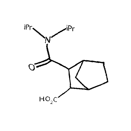 CC(C)N(C(=O)C1C2CCC(C2)C1C(=O)O)C(C)C